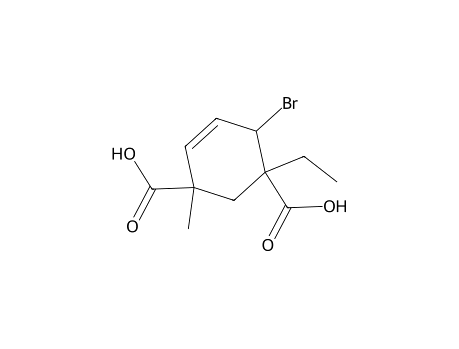 CCC1(C(=O)O)CC(C)(C(=O)O)C=CC1Br